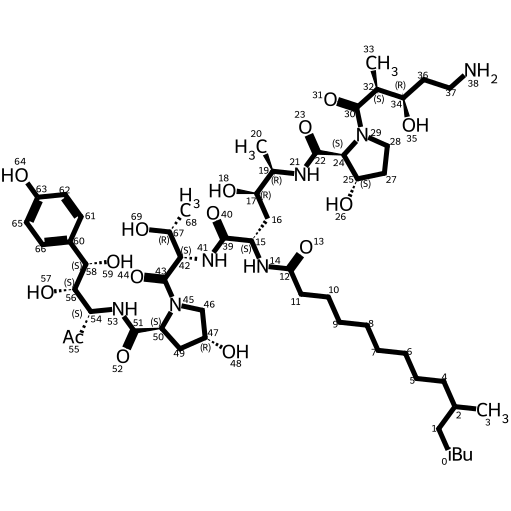 CCC(C)CC(C)CCCCCCCCC(=O)N[C@@H](C[C@@H](O)[C@@H](C)NC(=O)[C@@H]1[C@@H](O)CCN1C(=O)[C@@H](C)[C@H](O)CCN)C(=O)N[C@H](C(=O)N1C[C@H](O)C[C@H]1C(=O)N[C@H](C(C)=O)[C@H](O)[C@@H](O)c1ccc(O)cc1)[C@@H](C)O